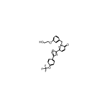 O=c1ccc(-c2nc(-c3ccc(OC(F)(F)F)cc3)no2)nn1Cc1cccc(OCCO)c1